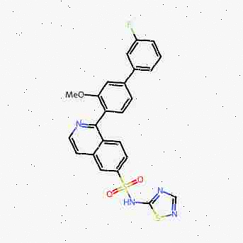 COc1cc(-c2cccc(F)c2)ccc1-c1nccc2cc(S(=O)(=O)Nc3ncns3)ccc12